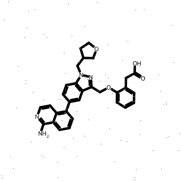 Nc1nccc2c(-c3ccc4c(c3)c(COc3ccccc3CC(=O)O)nn4CC3CCOC3)cccc12